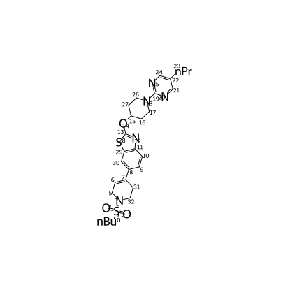 CCCCS(=O)(=O)N1CC=C(c2ccc3nc(OC4CCN(c5ncc(CCC)cn5)CC4)sc3c2)CC1